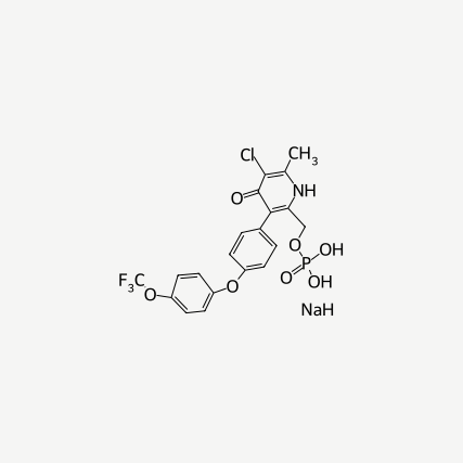 Cc1[nH]c(COP(=O)(O)O)c(-c2ccc(Oc3ccc(OC(F)(F)F)cc3)cc2)c(=O)c1Cl.[NaH]